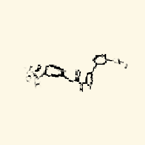 Cc1cc(-c2csc(NC(=O)Cc3cccc(NS(C)(=O)=O)c3)c2)ccn1